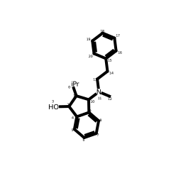 CC(C)C1C(O)c2ccccc2C1N(C)CCc1ccccc1